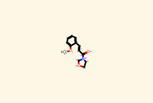 COc1ccccc1/C=C/C(=O)N1CCOC1